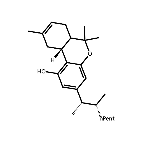 CCCCC[C@@H](C)[C@H](C)c1cc(O)c2c(c1)OC(C)(C)C1CC=C(C)C[C@@H]21